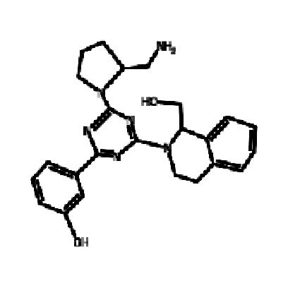 NC[C@@H]1CCCN1c1nc(-c2cccc(O)c2)nc(N2CCc3ccccc3C2CO)n1